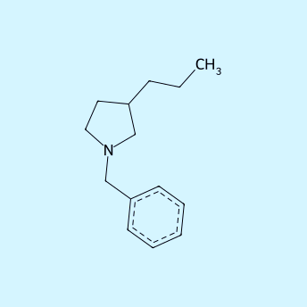 CCCC1CCN(Cc2ccccc2)C1